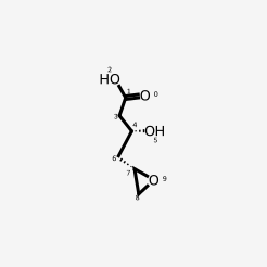 O=C(O)C[C@H](O)C[C@H]1CO1